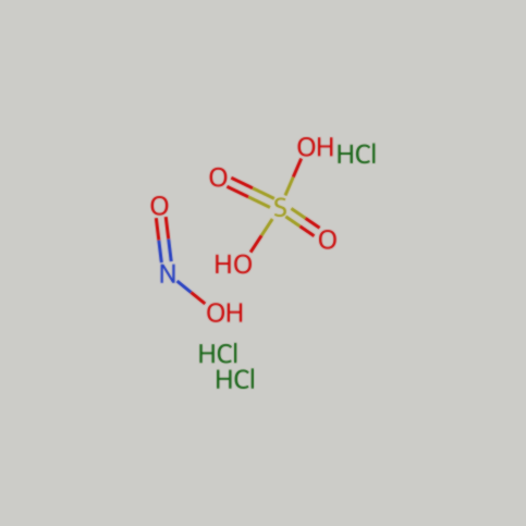 Cl.Cl.Cl.O=NO.O=S(=O)(O)O